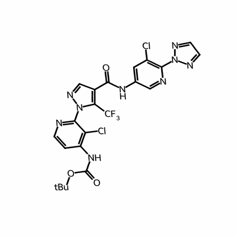 CC(C)(C)OC(=O)Nc1ccnc(-n2ncc(C(=O)Nc3cnc(-n4nccn4)c(Cl)c3)c2C(F)(F)F)c1Cl